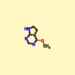 COc1ncnc2[nH]ccc12